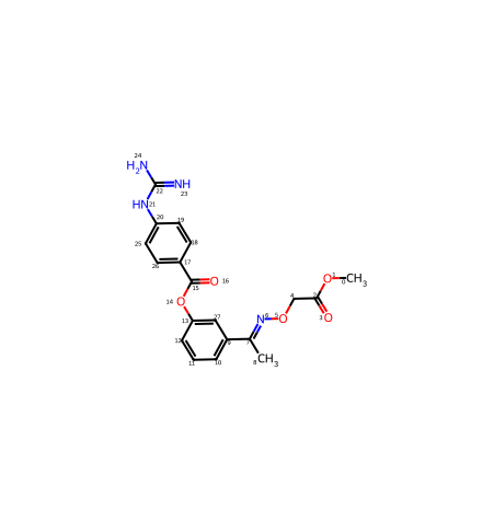 COC(=O)CON=C(C)c1cccc(OC(=O)c2ccc(NC(=N)N)cc2)c1